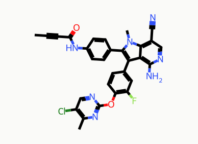 CC#CC(=O)Nc1ccc(-c2c(-c3ccc(Oc4ncc(Cl)c(C)n4)c(F)c3)c3c(N)ncc(C#N)c3n2C)cc1